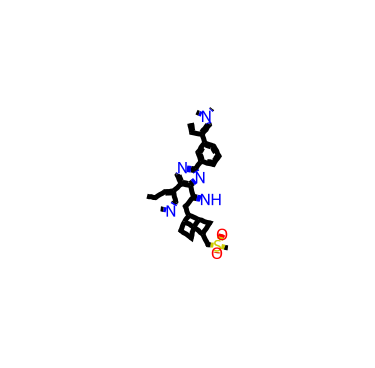 C=C/C(=C\N(C)C)c1cccc(-c2ncc(C(/C=N\C)=C/CC)c(C(=N)CC3C4CCC45C(CS(C)(=O)=O)CC35)n2)c1